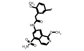 COc1ccc(F)cc1CC(=O)Nc1cc(S(N)(=O)=O)c2ccnc(OC)c2c1